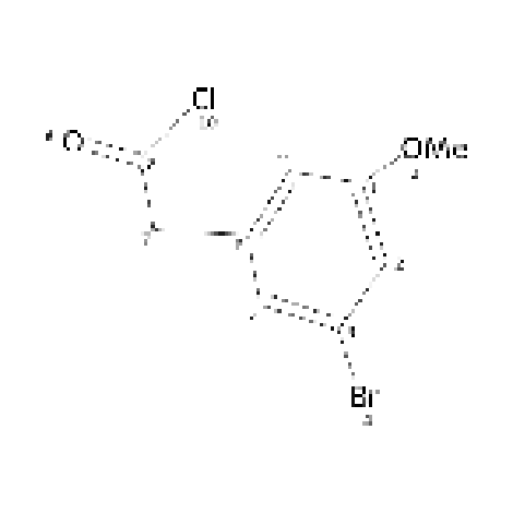 COc1cc(Br)cc(CC(=O)Cl)c1